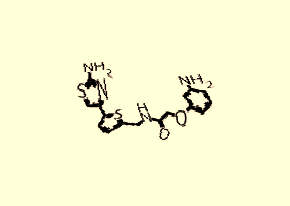 Nc1cccc(OCC(=O)NCc2ccc(-c3csc(N)n3)s2)c1